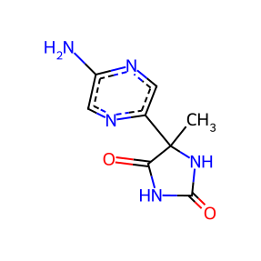 CC1(c2cnc(N)cn2)NC(=O)NC1=O